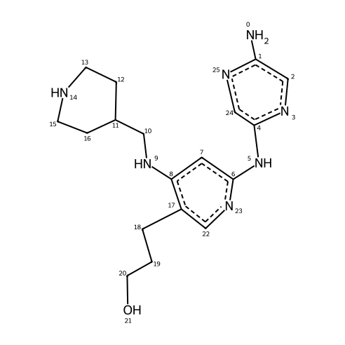 Nc1cnc(Nc2cc(NCC3CCNCC3)c(CCCO)cn2)cn1